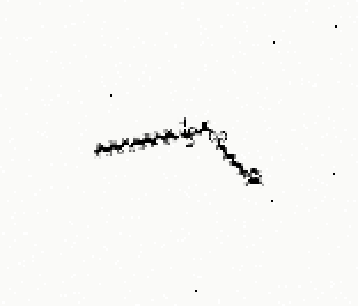 C=C(COC(=O)CCCCCCC[n+]1ccsc1)COC(=O)NCCCCCCCCCCCCCCC